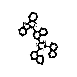 c1ccc2c(-c3nc(-c4cccc5ccccc45)nc(-c4ccc(-c5oc6ccccc6c6nc7ccccc7c5-6)c5ccccc45)n3)cccc2c1